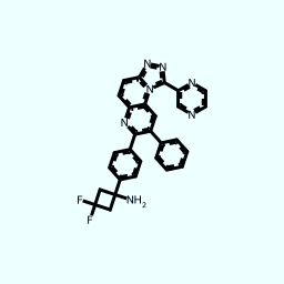 NC1(c2ccc(-c3nc4ccc5nnc(-c6cnccn6)n5c4cc3-c3ccccc3)cc2)CC(F)(F)C1